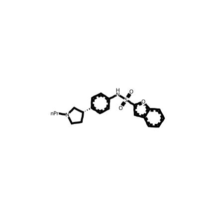 CCCN1CC[C@@H](c2ccc(NS(=O)(=O)c3cc4ccccc4o3)cc2)C1